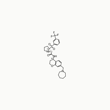 O=C(C[C@@]1(S(=O)(=O)c2cccc(C(F)(F)F)c2)CCCN1)N[C@@H]1CCOc2cc(CN3CCCCCC3)ccc21